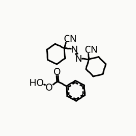 N#CC1(N=NC2(C#N)CCCCC2)CCCCC1.O=C(OO)c1ccccc1